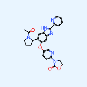 CC(=O)N1CCCC1c1cc2[nH]c(-c3ccccn3)nc2cc1Oc1ccc(N2CCOC2=O)nc1